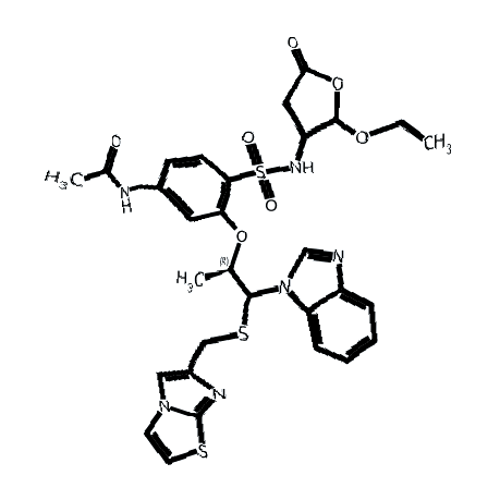 CCOC1OC(=O)CC1NS(=O)(=O)c1ccc(NC(C)=O)cc1O[C@H](C)C(SCc1cn2ccsc2n1)n1cnc2ccccc21